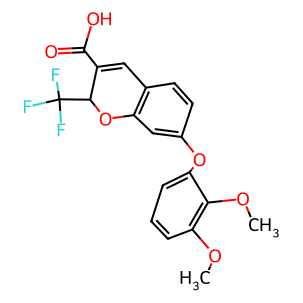 COc1cccc(Oc2ccc3c(c2)OC(C(F)(F)F)C(C(=O)O)=C3)c1OC